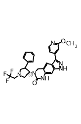 COc1cc(-c2n[nH]c3cc4c(cc23)CN([C@@H]2CN(CC(F)(F)F)CC2c2ccccc2)C(=O)N4)ccn1